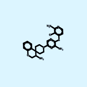 Nc1nc(N2CCC3(CC2)c2ccccc2OCC3N)cnc1Sc1ccnc(N)c1Cl